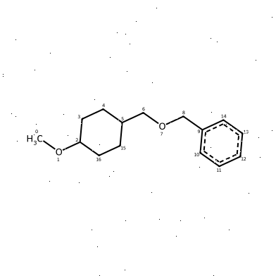 COC1CCC(COCc2ccccc2)CC1